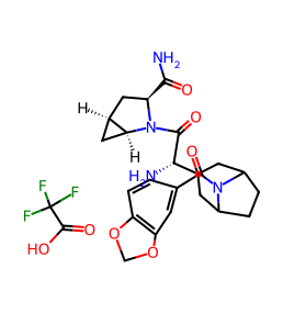 NC(=O)[C@@H]1C[C@@H]2C[C@@H]2N1C(=O)[C@@H](N)C1CC2CCC(C1)N2C(=O)c1ccc2c(c1)OCO2.O=C(O)C(F)(F)F